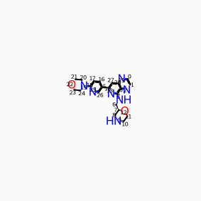 c1cnc2c(NC[C@@H]3CNCCO3)nc(-c3ccc(N4CCOCC4)nc3)cc2n1